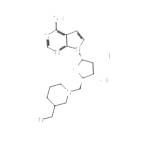 NCC1CCCN(C[C@H]2O[C@@H](n3ccc4c(N)ncnc43)[C@H](O)[C@@H]2O)C1